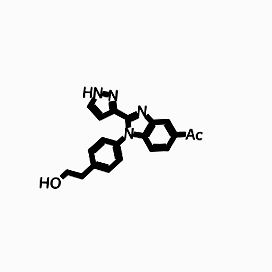 CC(=O)c1ccc2c(c1)nc(-c1cc[nH]n1)n2-c1ccc(CCO)cc1